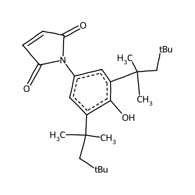 CC(C)(C)CC(C)(C)c1cc(N2C(=O)C=CC2=O)cc(C(C)(C)CC(C)(C)C)c1O